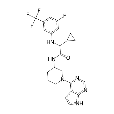 O=C(NC1CCCN(c2ncnc3[nH]ccc23)C1)C(Nc1cc(F)cc(C(F)(F)F)c1)C1CC1